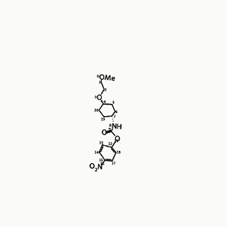 COCCO[C@H]1CC[C@H](NC(=O)Oc2ccc([N+](=O)[O-])cc2)CC1